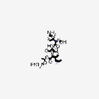 C/C=C\C1=C(C(=O)OC(C)OC(=O)OCC)N2C(=O)[C@@H](NC(=O)/C(=N\O)c3csc(N)n3)[C@H]2SC1